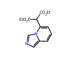 CCOC(=O)C(C(=O)OCC)c1cccc2cncn12